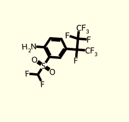 Nc1ccc(C(F)(C(F)(F)F)C(F)(F)C(F)(F)F)cc1S(=O)(=O)C(F)F